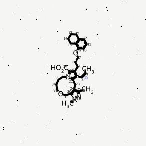 C/C=C\c1c(CCCOc2cccc3c2CCCC3)c(C(=O)O)n2c1Cc1c(C)nn(C)c1COCCCC2